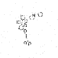 O=C(OCC1CCN(Cc2ccccc2)CC1)[C@](O)(c1ccccc1)c1cccc(OCCCCC2OCCO2)c1